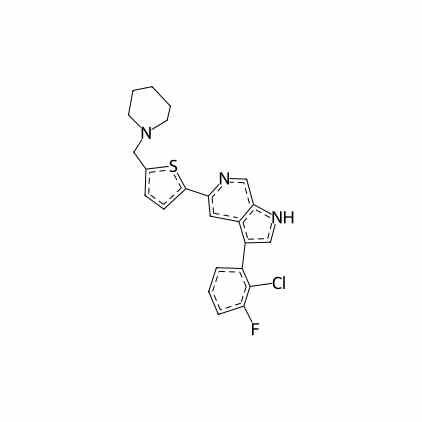 Fc1cccc(-c2c[nH]c3cnc(-c4ccc(CN5CCCCC5)s4)cc23)c1Cl